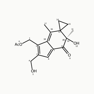 CC(=O)OCC1=C(CO)C=C2C(=O)[C@](C)(O)C3(CC3)C(C)=C21